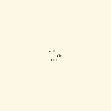 Cl.Cl.Cl.[Y]